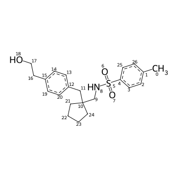 Cc1ccc(S(=O)(=O)NCC2(Cc3ccc(CCO)cc3)CCCC2)cc1